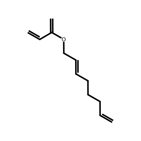 C=CCCC/C=C/COC(=C)C=C